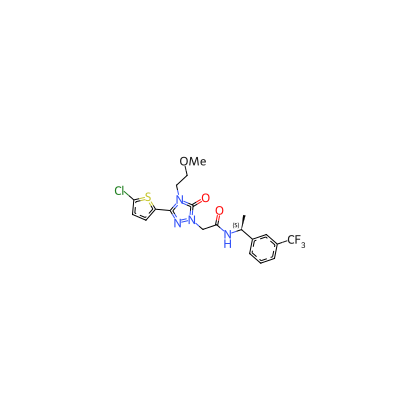 COCCn1c(-c2ccc(Cl)s2)nn(CC(=O)N[C@@H](C)c2cccc(C(F)(F)F)c2)c1=O